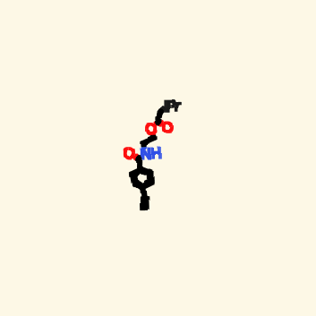 C#Cc1ccc(C(=O)NCCOC(=O)CC(C)C)cc1